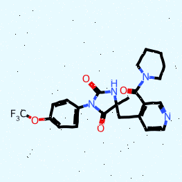 CC1(Cc2ccncc2C(=O)N2CCCCC2)NC(=O)N(c2ccc(OC(F)(F)F)cc2)C1=O